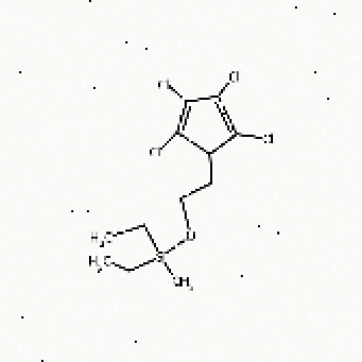 CC[Si](C)(CC)OCCC1C(Cl)=C(Cl)C(Cl)=C1Cl